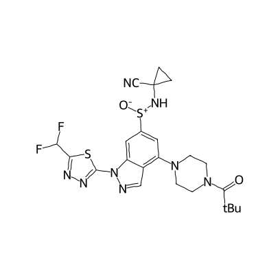 CC(C)(C)C(=O)N1CCN(c2cc([S+]([O-])NC3(C#N)CC3)cc3c2cnn3-c2nnc(C(F)F)s2)CC1